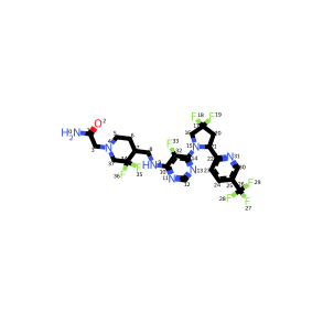 NC(=O)CN1CCC(CNc2ncnc(N3CC(F)(F)CC3c3ccc(C(F)(F)F)cn3)c2F)C(F)(F)C1